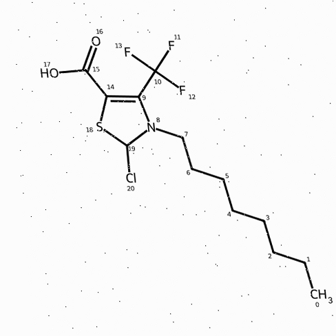 CCCCCCCCN1C(C(F)(F)F)=C(C(=O)O)SC1Cl